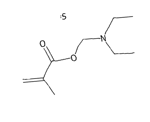 C=C(C)C(=O)OCN(CC)CC.[S]